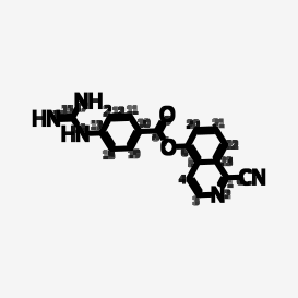 N#Cc1nccc2c(OC(=O)c3ccc(NC(=N)N)cc3)cccc12